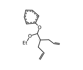 C=CC[C](CC=C)C(OCC)Oc1ccccc1